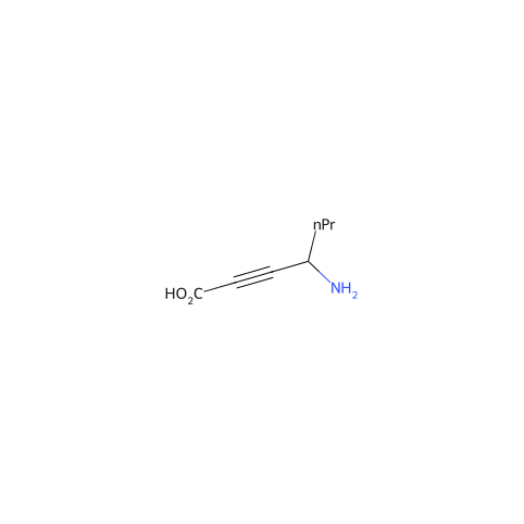 CCCC(N)C#CC(=O)O